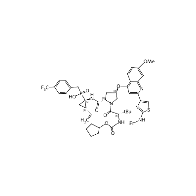 C=C[C@@H]1C[C@]1(NC(=O)[C@@H]1C[C@@H](Oc2cc(-c3csc(NC(C)C)n3)nc3cc(OC)ccc23)CN1C(=O)[C@@H](NC(=O)OC1CCCC1)C(C)(C)C)P(=O)(O)Cc1ccc(C(F)(F)F)cc1